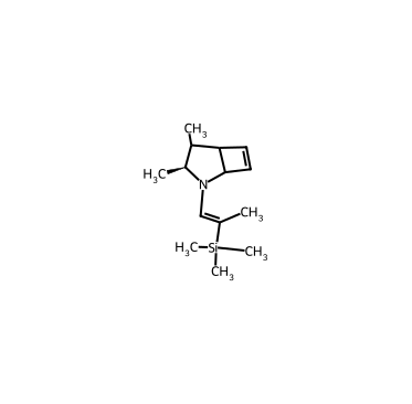 C/C(=C\N1C2C=CC2C(C)[C@@H]1C)[Si](C)(C)C